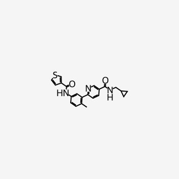 Cc1ccc(NC(=O)c2ccsc2)cc1-c1ccc(C(=O)NCC2CC2)cn1